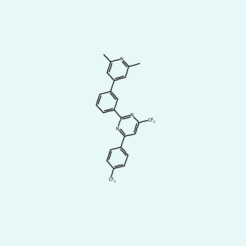 Cc1cc(-c2cccc(-c3nc(-c4ccc(C(F)(F)F)cc4)cc(C(F)(F)F)n3)c2)cc(C)n1